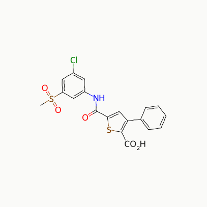 CS(=O)(=O)c1cc(Cl)cc(NC(=O)c2cc(-c3ccccc3)c(C(=O)O)s2)c1